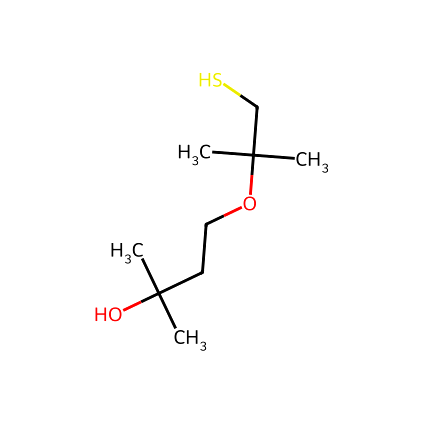 CC(C)(O)CCOC(C)(C)CS